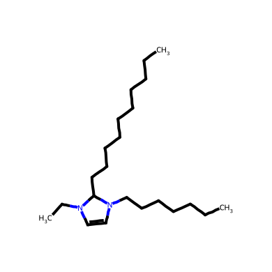 CCCCCCCCCCC1N(CC)C=CN1CCCCCCC